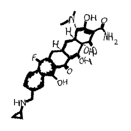 CN(C)[C@@H]1C(O)=C(C(N)=O)C(=O)[C@@]2(O)C(O)=C3C(=O)c4c(c(F)c5ccc(CNC6CC6)cc5c4O)C[C@H]3C[C@@H]12